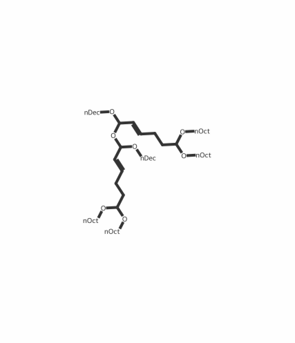 CCCCCCCCCCOC(C=CCCC(OCCCCCCCC)OCCCCCCCC)OC(C=CCCC(OCCCCCCCC)OCCCCCCCC)OCCCCCCCCCC